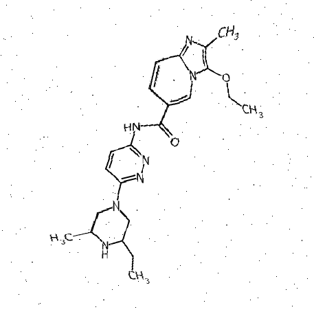 CCOc1c(C)nc2ccc(C(=O)Nc3ccc(N4CC(C)NC(CC)C4)nn3)cn12